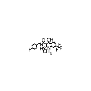 CSc1nc2cc(C(F)(F)F)ccc2c(C)c1C(=O)NCc1ccc(F)cc1